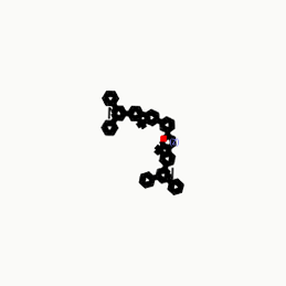 C=C(/C=C\C1=C(C)C(C)(C)c2cc(-c3cc(-c4ccccc4)cc(-c4ccccc4)n3)ccc21)c1cccc(-c2ccc3c(c2)C(C)(C)c2cc(-c4cc(-c5ccccc5)nc(-c5ccccc5)c4)ccc2-3)c1